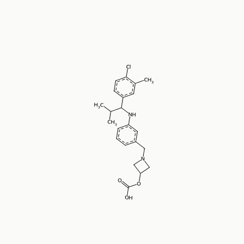 Cc1cc(C(Nc2cccc(CN3CC(OC(=O)O)C3)c2)C(C)C)ccc1Cl